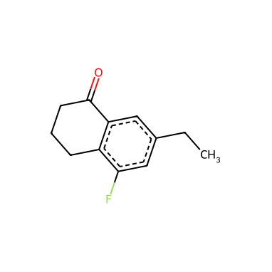 CCc1cc(F)c2c(c1)C(=O)CCC2